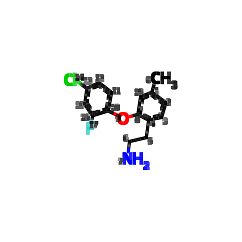 Cc1ccc(CCN)c(Oc2ccc(Cl)cc2F)c1